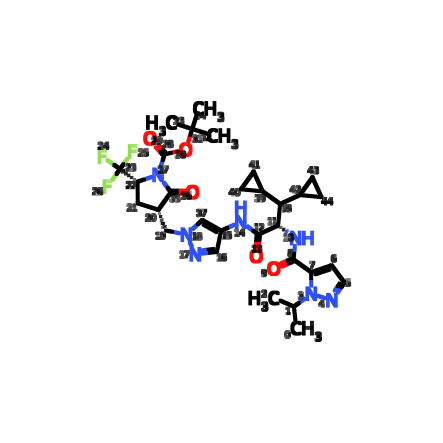 CC(C)n1nccc1C(=O)N[C@H](C(=O)Nc1cnn(C[C@@H]2C[C@H](C(F)(F)F)N(C(=O)OC(C)(C)C)C2=O)c1)C(C1CC1)C1CC1